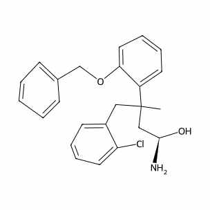 CC(Cc1ccccc1Cl)(C[C@H](N)O)c1ccccc1OCc1ccccc1